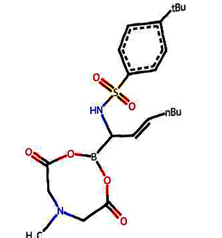 CCCCC=CC(NS(=O)(=O)c1ccc(C(C)(C)C)cc1)B1OC(=O)CN(C)CC(=O)O1